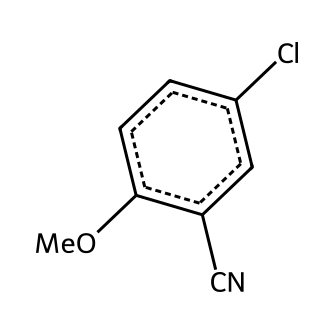 COc1ccc(Cl)cc1C#N